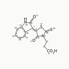 O=C(O)CCN1C(=O)/C(=C2/C(=O)Nc3ccccc32)SC1=S